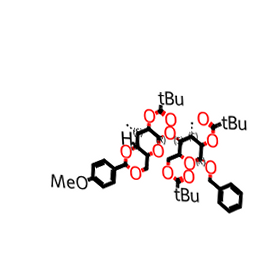 COc1ccc(C2OCC3O[C@@H](O[C@@H]4C(COC(=O)C(C)(C)C)O[C@@H](OCc5ccccc5)C(OC(=O)C(C)(C)C)[C@H]4C)C(OC(=O)C(C)(C)C)[C@@H](C)[C@H]3O2)cc1